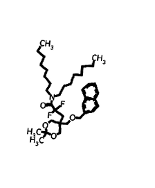 CCCCCCCCN(CCCCCCCC)C(=O)C(F)(F)CC1(COCc2ccc3ccccc3c2)COC(C)(C)OC1